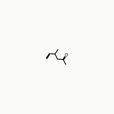 C=CC(C)CC(C)=O